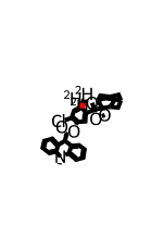 [2H]C([2H])([2H])OC1(c2ccc(Cl)c(OC(=O)C3c4ccccc4N(C)c4ccccc43)c2)OOC12C1CC3CC(C1)CC2C3